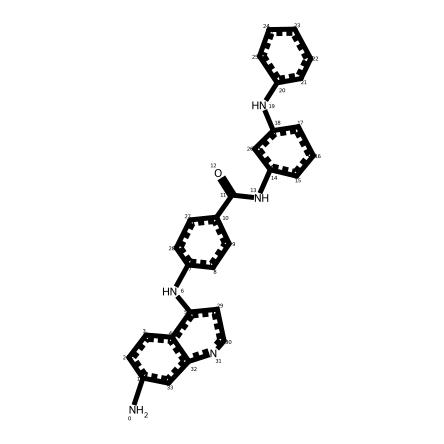 Nc1ccc2c(Nc3ccc(C(=O)Nc4cccc(Nc5ccccc5)c4)cc3)ccnc2c1